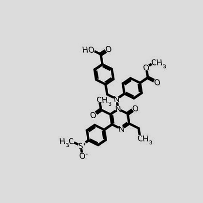 CCc1nc(-c2ccc([S+](C)[O-])cc2)c(C(C)=O)n(N(Cc2ccc(C(=O)O)cc2)c2ccc(C(=O)OC)cc2)c1=O